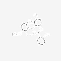 COc1ccc(OC)c2c1CCN(C(=O)c1ccccc1C(C)=O)C2c1cccc(Cl)c1Cl